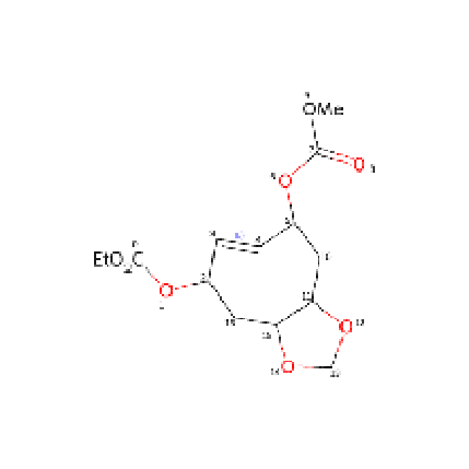 CCOC(=O)OC1/C=C/C(OC(=O)OC)CC2OCOC2C1